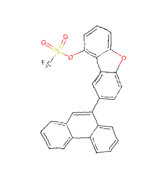 O=S(=O)(Oc1cccc2oc3ccc(-c4cc5ccccc5c5ccccc45)cc3c12)C(F)(F)F